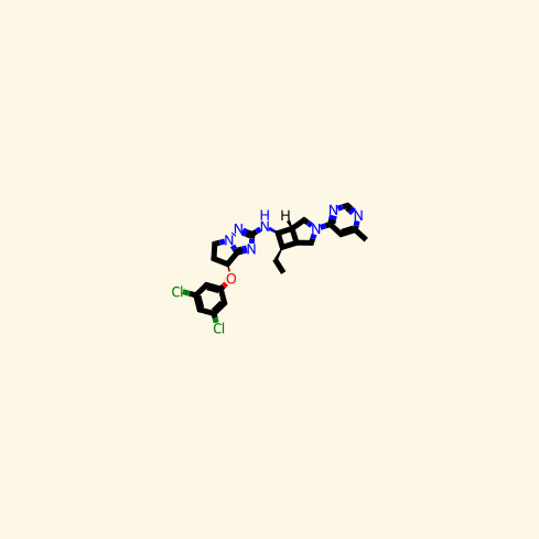 CC[C@@H]1C2CN(c3cc(C)ncn3)C[C@H]2[C@@H]1Nc1nc2n(n1)CC[C@H]2Oc1cc(Cl)cc(Cl)c1